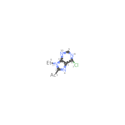 CCn1c(C(C)=O)nc2c(Cl)ncnc21